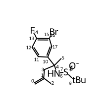 C=C(C)CC(C)(N[S+]([O-])C(C)(C)C)c1ccc(F)c(Br)c1